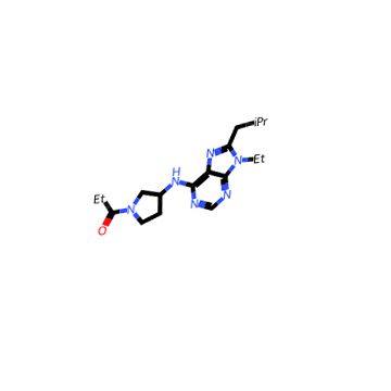 CCC(=O)N1CCC(Nc2ncnc3c2nc(CC(C)C)n3CC)C1